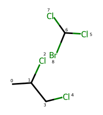 CC(Cl)CCl.ClC(Cl)Br